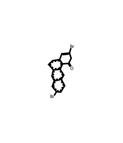 O=C1CC(Br)=Cc2ccc3cc4cc(Br)ccc4cc3c21